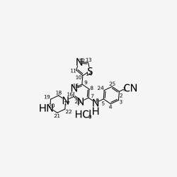 Cl.N#Cc1ccc(Nc2cc(-c3cncs3)nc(N3CCNCC3)n2)cc1